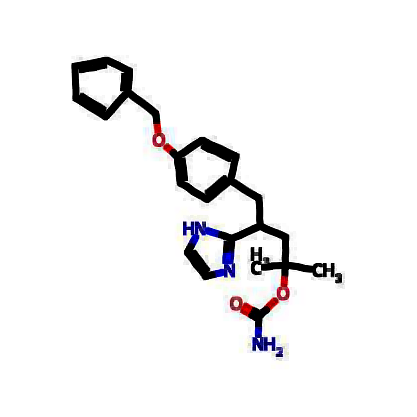 CC(C)(CC(Cc1ccc(OCc2ccccc2)cc1)c1ncc[nH]1)OC(N)=O